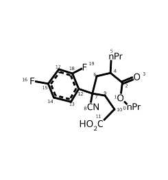 CCCOC(=O)C(CCC)CC(C#N)(CCC(=O)O)c1ccc(F)cc1F